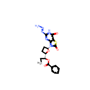 CCC(OC(=O)c1ccccc1)[C@@H]1CC[C@H](n2c(=O)sc3c(=O)[nH]c(N=NN)nc32)O1